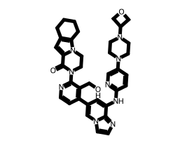 O=C1c2cc3c(n2CCN1c1nccc(-c2cc(Nc4ccc(N5CCN(C6COC6)CC5)cn4)c4nccn4c2)c1CO)CCCC3